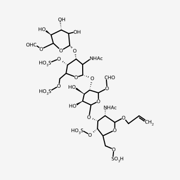 C=CCOC1OC(COS(=O)(=O)O)[C@H](OS(=O)(=O)O)[C@H](OC2OC(OC=O)[C@@H](O[C@@H]3OC(COS(=O)(=O)O)[C@H](OS(=O)(=O)O)[C@H](O[C@@H]4OC(OC=O)[C@@H](O)[C@H](O)C4O)C3NC(C)=O)[C@H](O)[C@@H]2O)[C@@H]1NC(C)=O